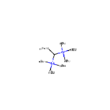 [CH2]CCCC[C]([N+](CCCC)(CCCC)CCCC)[N+](CCCC)(CCCC)CCCC